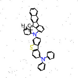 CC1(C)c2cc3ccccc3cc2-c2cccc(N(c3ccccc3)c3ccc4c(c3)sc3ccc(N(c5ccccc5)c5ccccc5)cc34)c21